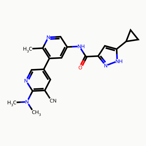 Cc1ncc(NC(=O)c2cc(C3CC3)[nH]n2)cc1-c1cnc(N(C)C)c(C#N)c1